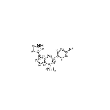 Nc1nc(-c2ccc(F)nc2)nc2c1cnn2[C@H]1CCNC1